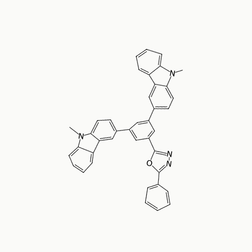 Cn1c2ccccc2c2cc(-c3cc(-c4ccc5c(c4)c4ccccc4n5C)cc(-c4nnc(-c5ccccc5)o4)c3)ccc21